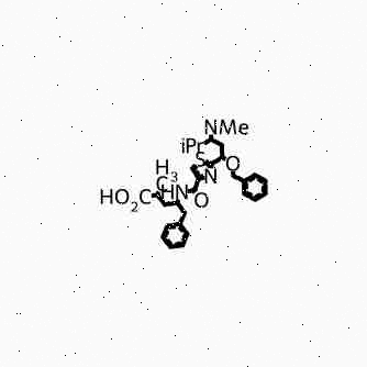 CNC(CC(OCc1ccccc1)c1nc(C(=O)NC(Cc2ccccc2)CC(C)C(=O)O)cs1)C(C)C